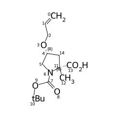 C=CCO[C@H]1CN(C(=O)OC(C)(C)C)[C@@](C)(C(=O)O)C1